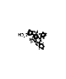 CN1C(C2CCCCC2)CN(c2ccccc2)c2cc(Cl)c(-c3cccc(C(=O)O)n3)cc2S1(O)O